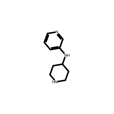 c1cncc(NC2CCNCC2)c1